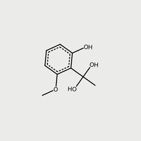 COc1cccc(O)c1C(C)(O)O